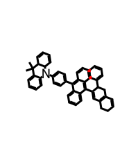 CC1(C)c2ccccc2N(c2ccc(-c3c4ccccc4c(C4=CC5=C(C=CCC5)CC4C4=CC=CCC4)c4ccccc34)cc2)C2C=CC=CC21